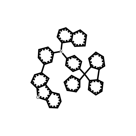 c1ccc(C2(c3ccc(N(c4cccc(-c5ccc6oc7ccccc7c6c5)c4)c4cccc5ccccc45)cc3)c3ccccc3-c3ccccc32)cc1